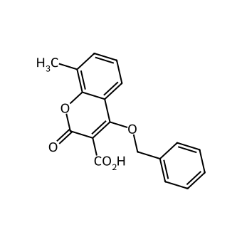 Cc1cccc2c(OCc3ccccc3)c(C(=O)O)c(=O)oc12